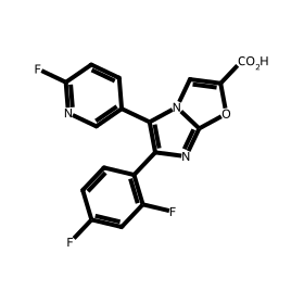 O=C(O)c1cn2c(-c3ccc(F)nc3)c(-c3ccc(F)cc3F)nc2o1